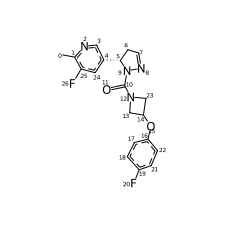 Cc1ncc([C@@H]2CC=NN2C(=O)N2CC(Oc3ccc(F)cc3)C2)cc1F